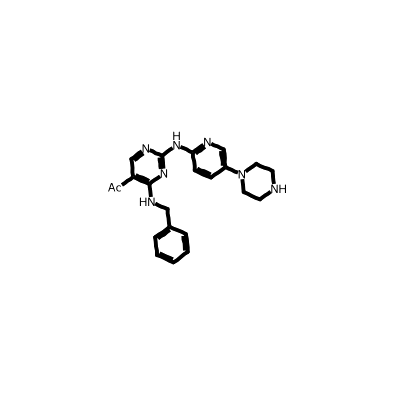 CC(=O)c1cnc(Nc2ccc(N3CCNCC3)cn2)nc1NCc1ccccc1